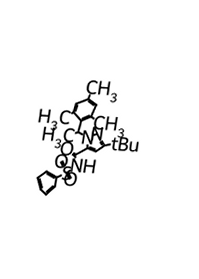 Cc1cc(C)c(C(C)n2nc(C(C)(C)C)cc2C(=O)NS(=O)(=O)c2ccccc2)c(C)c1